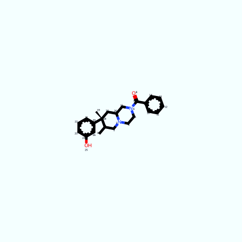 CC1CN2CCN(C(=O)c3ccccc3)CC2C[C@@]1(C)c1cccc(O)c1